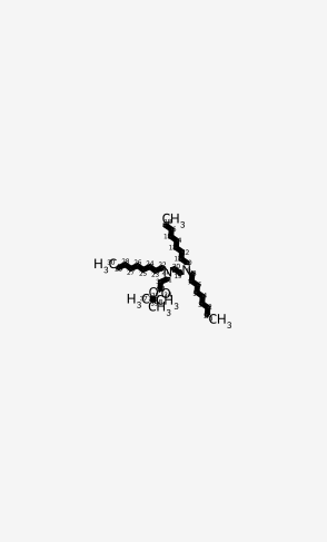 CCCCCCCCCN(CCCCCCCCC)CCN(CCCCCCCCC)CCC(=O)OC(C)(C)C